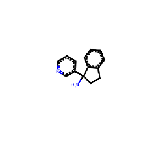 NC1(c2cccnc2)CCc2ccccc21